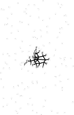 FOC(F)(F)C12C(F)(F)C3(F)C(F)(F)C(F)(C1(F)F)C(F)(F)C(C(F)(F)OF)(C3(F)F)C2(F)F